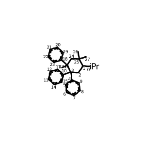 CC(C)C1CC(c2ccccc2)(c2ccccc2)C(C)(c2ccccc2)CC1(C)C